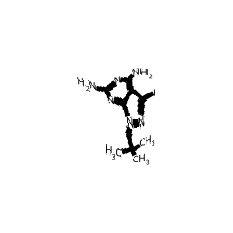 CC(C)(C)Cn1nc(I)c2c(N)nc(N)nc21